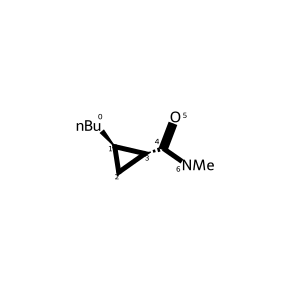 CCCC[C@@H]1C[C@H]1C(=O)NC